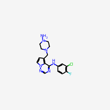 NN1CCN(Cc2ccn3ncnc(Nc4ccc(F)c(Cl)c4)c23)CC1